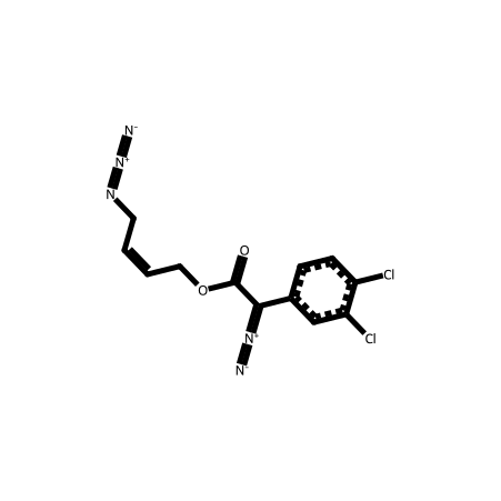 [N-]=[N+]=NC/C=C\COC(=O)C(=[N+]=[N-])c1ccc(Cl)c(Cl)c1